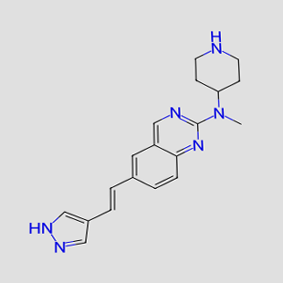 CN(c1ncc2cc(/C=C/c3cn[nH]c3)ccc2n1)C1CCNCC1